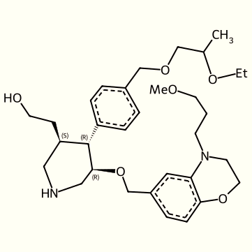 CCOC(C)COCc1ccc([C@H]2[C@H](CCO)CNC[C@@H]2OCc2ccc3c(c2)N(CCCOC)CCO3)cc1